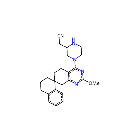 COc1nc2c(c(N3CCNC(CC#N)C3)n1)CCC1(CCCc3ccccc31)C2